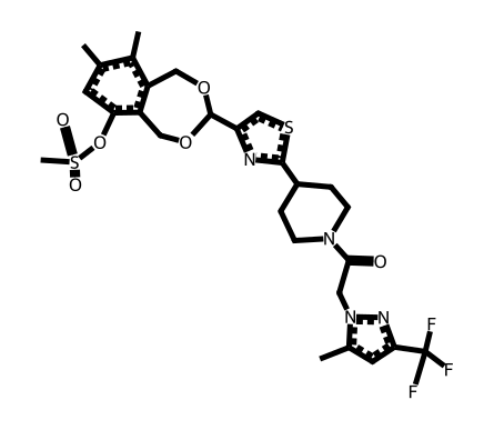 Cc1cc(OS(C)(=O)=O)c2c(c1C)COC(c1csc(C3CCN(C(=O)Cn4nc(C(F)(F)F)cc4C)CC3)n1)OC2